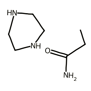 C1CNCCN1.CCC(N)=O